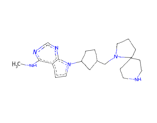 CNc1ncnc2c1ccn2C1CCC(CN2CCCC23CCNCC3)C1